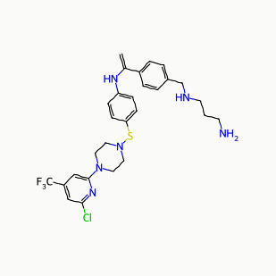 C=C(Nc1ccc(SN2CCN(c3cc(C(F)(F)F)cc(Cl)n3)CC2)cc1)c1ccc(CNCCCN)cc1